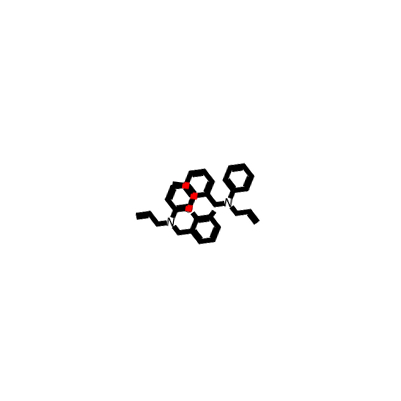 C=CCN(Cc1cccc(C)c1Oc1c(C)cccc1CN(CC=C)c1ccccc1)c1ccccc1